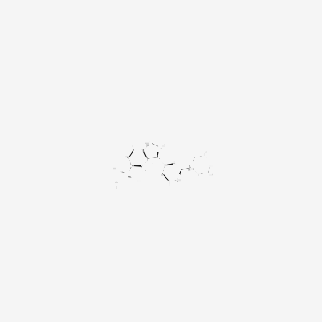 CS(=O)(=O)c1ccc2[nH]nc(-c3ccnc(N4CCOCC4)c3)c2c1